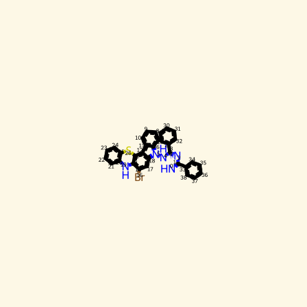 N=C(/N=C(\Nn1c2ccccc2c2c3c(c(Br)cc21)Nc1ccccc1S3)c1ccccc1)c1ccccc1